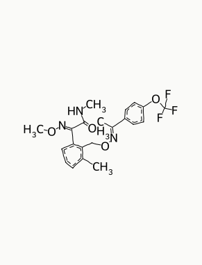 CNC(=O)/C(=N/OC)c1cccc(C)c1CO/N=C(\C)c1ccc(OC(F)(F)F)cc1